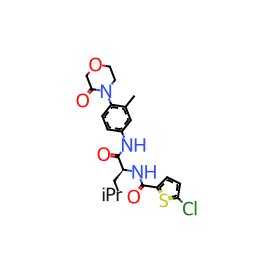 Cc1cc(NC(=O)[C@H](CC(C)C)NC(=O)c2ccc(Cl)s2)ccc1N1CCOCC1=O